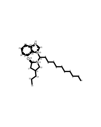 CCCCCCCCCCC(N1CC(CCC)CC1=O)n1cnc2ccccc21